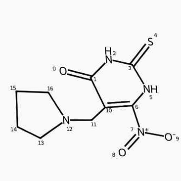 O=c1[nH]c(=S)[nH]c([N+](=O)[O-])c1CN1CCCC1